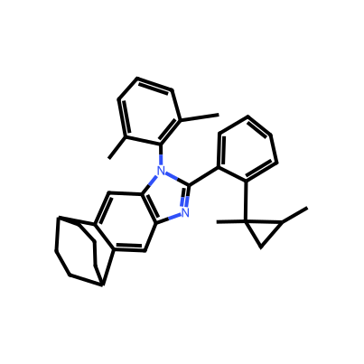 Cc1cccc(C)c1-n1c(-c2ccccc2C2(C)CC2C)nc2cc3c(cc21)C1CCCC3CC1